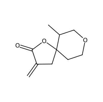 C=C1CC2(CCOCC2C)OC1=O